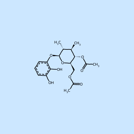 CC(=O)OC[C@H]1O[C@@H](Oc2cccc(O)c2O)[C@H](C)[C@@H](C)[C@@H]1OC(C)=O